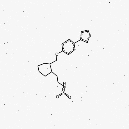 O=[SH](=O)NCCC1CCCCC1COc1ccc(-c2ccsc2)cc1